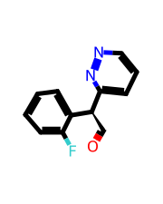 O=C[C@H](c1cccnn1)c1ccccc1F